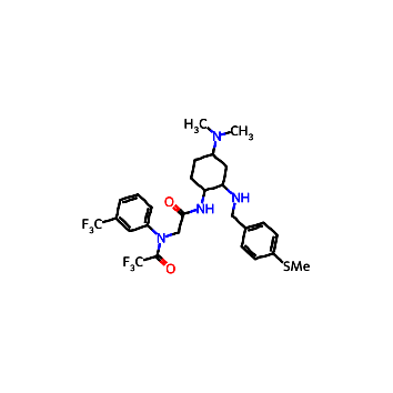 CSc1ccc(CNC2CC(N(C)C)CCC2NC(=O)CN(C(=O)C(F)(F)F)c2cccc(C(F)(F)F)c2)cc1